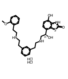 COc1ccccc1CCNCCc1cccc(CCNC[C@H](O)c2ccc(O)c3[nH]c(=O)sc23)c1.Cl.Cl